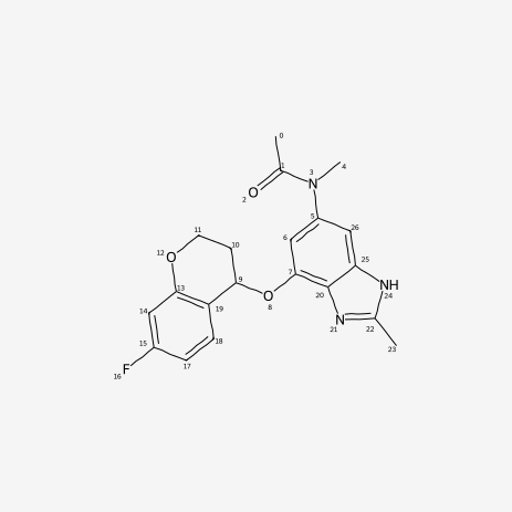 CC(=O)N(C)c1cc(OC2CCOc3cc(F)ccc32)c2nc(C)[nH]c2c1